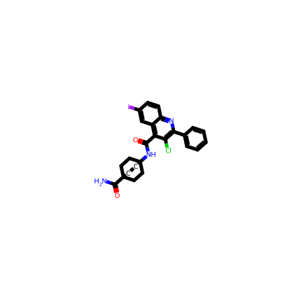 NC(=O)C12CCC(NC(=O)c3c(Cl)c(-c4ccccc4)nc4ccc(I)cc34)(CC1)CC2